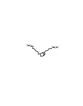 O=C=NCCCCCC1CC2CC(CCCCN=C=O)C1C2